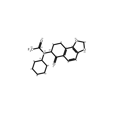 O=C1c2ccc3c(c2CCC1N(C(=O)C(F)(F)F)C1CCCCC1)OCO3